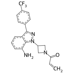 C=CC(=O)N1CC(n2nc(-c3ccc(C(F)(F)F)cc3)c3cccc(N)c32)C1